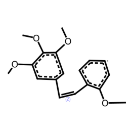 COc1c[c]ccc1/C=C\c1cc(OC)c(OC)c(OC)c1